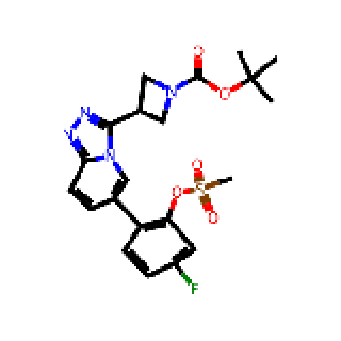 CC(C)(C)OC(=O)N1CC(c2nnc3ccc(-c4ccc(F)cc4OS(C)(=O)=O)cn23)C1